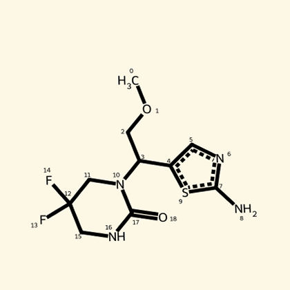 COCC(c1cnc(N)s1)N1CC(F)(F)CNC1=O